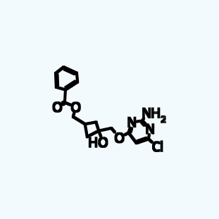 Nc1nc(Cl)cc(OCC2(O)CC(COC(=O)c3ccccc3)C2)n1